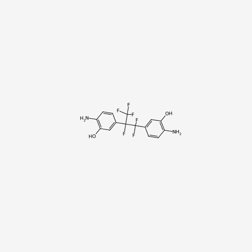 Nc1ccc(C(F)(F)C(F)(c2ccc(N)c(O)c2)C(F)(F)F)cc1O